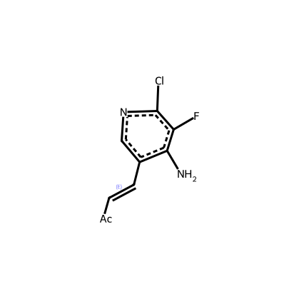 CC(=O)/C=C/c1cnc(Cl)c(F)c1N